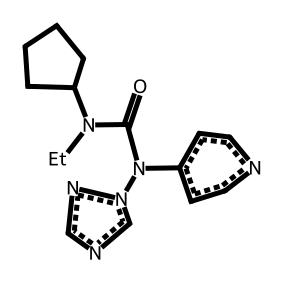 CCN(C(=O)N(c1ccncc1)n1cncn1)C1CCCC1